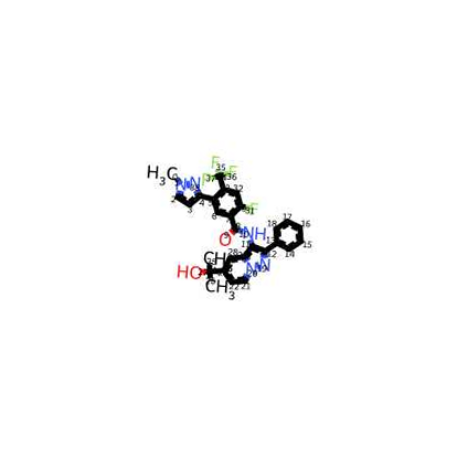 Cn1ccc(-c2cc(C(=O)Nc3c(-c4ccccc4)nn4ccc(C(C)(C)O)cc34)c(F)cc2C(F)(F)F)n1